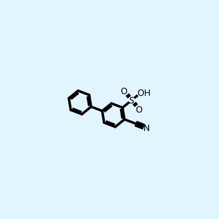 N#Cc1ccc(-c2ccccc2)cc1S(=O)(=O)O